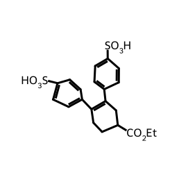 CCOC(=O)C1CCC(c2ccc(S(=O)(=O)O)cc2)=C(c2ccc(S(=O)(=O)O)cc2)C1